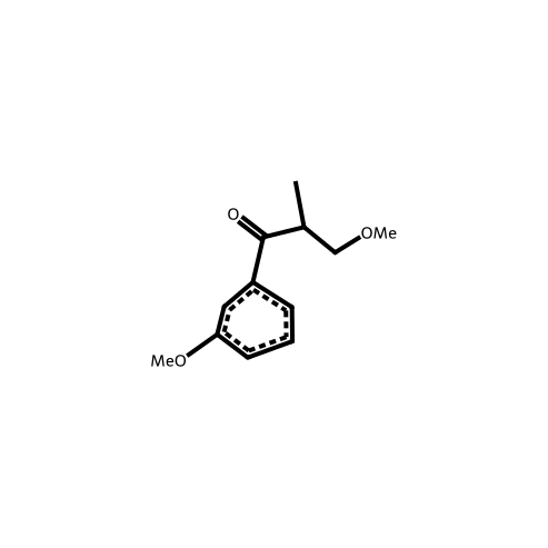 COCC(C)C(=O)c1cccc(OC)c1